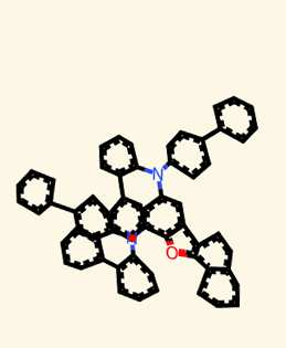 c1ccc(-c2ccc(N(c3cc(N(c4ccc(-c5ccccc5)cc4)c4ccccc4-c4ccccc4)c4oc5c6ccccc6ccc5c4c3)c3ccccc3-c3ccccc3)cc2)cc1